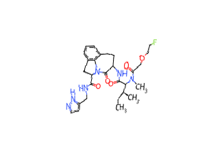 CC[C@H](C)[C@@H](C(=O)NC1CCc2cccc3c2N(C1=O)C(C(=O)NCc1ccn[nH]1)C3)N(C)C(=O)COCCF